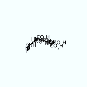 O=C(O)CC[C@H](NP(=O)(O)OCCCCNC(=O)CC[C@H](NC(=O)CCCCCNC(=O)c1ccc(F)nc1)C(=O)O)C(=O)O